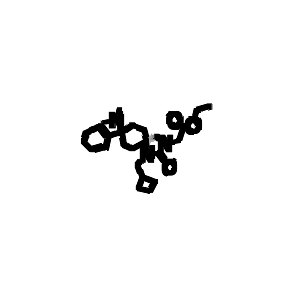 CCOC(=O)CN1C[C@]2(CC[C@](c3ccccc3)(N(C)C)CC2)N(CC2CCC2)C1=O